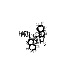 Cl.Cl.[CH3][Hf](=[SiH2])([Cl])([CH]1C=Cc2ccccc21)[CH]1C=Cc2ccccc21